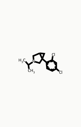 CC(C)N1CC2CC2(c2ccc(Cl)cc2Cl)C1